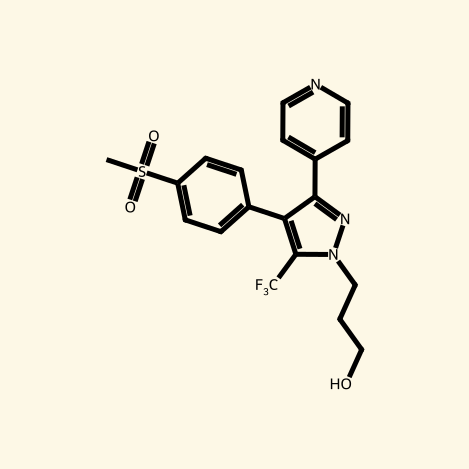 CS(=O)(=O)c1ccc(-c2c(-c3ccncc3)nn(CCCO)c2C(F)(F)F)cc1